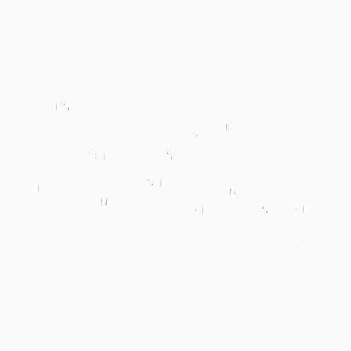 COc1cc(N2CCN(C(C)C)CC2)c(C)cc1Nc1cc2c(Nc3cc(F)cc(F)c3C(N)=O)cncc2[nH]1